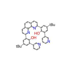 CC(C)(C)c1cc(-c2cccnc2)c(O)c(-c2ccc3ccc4ccc(-c5cc(C(C)(C)C)cc(-c6cccnc6)c5O)nc4c3n2)c1